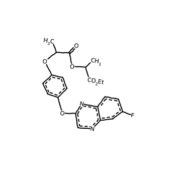 CCOC(=O)C(C)OC(=O)C(C)Oc1ccc(Oc2cnc3cc(F)ccc3n2)cc1